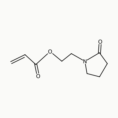 C=CC(=O)OCCN1CCCC1=O